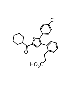 O=C(O)CCc1ccccc1-c1cc(C(=O)C2CCCCC2)sc1-c1ccc(Cl)cc1